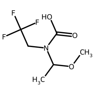 COC(C)N(CC(F)(F)F)C(=O)O